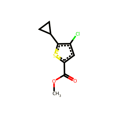 COC(=O)c1cc(Cl)c(C2CC2)s1